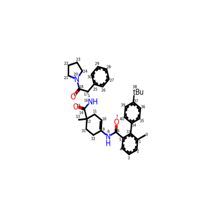 Cc1cccc(C(=O)NC2=CCC(C)(C(=O)N[C@H](C(=O)N3CCCC3)c3ccccc3)CC2)c1-c1ccc(C(C)(C)C)cc1